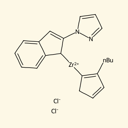 CCCCC1=[C]([Zr+2][CH]2C(n3cccn3)=Cc3ccccc32)CC=C1.[Cl-].[Cl-]